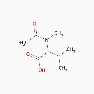 [CH2]C(=O)N(C)C(C(=O)O)C(C)C